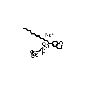 CCCCCCCCCCCCC(OC(=O)NCCCS(=O)(=O)[O-])c1ccc2c(c1)CCCO2.[Na+]